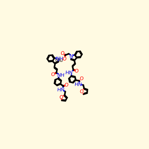 CC(C)(C)OC(=O)Cn1cc(C=CC(=O)Nc2cccc(C(=O)NCc3ccco3)c2)c2ccccc21.O=C(C=Cc1c[nH]c2ccccc12)Nc1cccc(C(=O)NCc2ccco2)c1